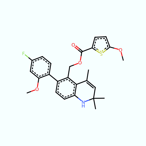 COc1ccc(C(=O)OCc2c(-c3ccc(F)cc3OC)ccc3c2C(C)=CC(C)(C)N3)s1